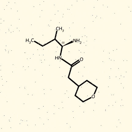 CCC(C)[C@@H](N)NC(=O)CC1CCOCC1